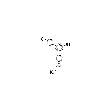 OCCOc1ccc(-c2nc(O)nc(-c3ccc(Cl)cc3)n2)cc1